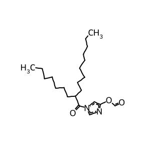 CCCCCCCCCC(CCCCCCC)C(=O)n1cnc(OC=O)c1